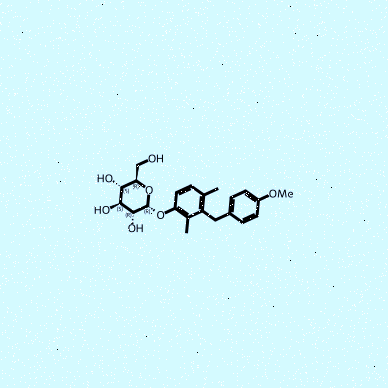 COc1ccc(Cc2c(C)ccc(O[C@H]3O[C@H](CO)[C@@H](O)[C@H](O)[C@H]3O)c2C)cc1